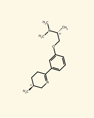 C[C@H]1CCC(c2cccc(OC[C@@H](C)N(C)C)c2)=NC1